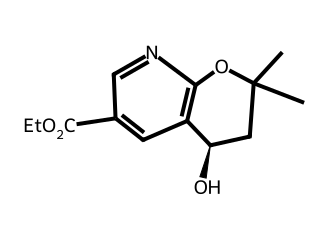 CCOC(=O)c1cnc2c(c1)[C@H](O)CC(C)(C)O2